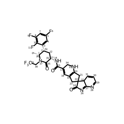 C[C@@H]1[C@H](c2cc(F)cc(F)c2F)C[C@H](NC(=O)C2=CC3=C(CC4(C3)C(=O)N=C3N=CC=CC34)NC2)C(=O)N1CC(F)(F)F